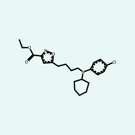 CCOC(=O)c1cc(CCCCN(c2ccc(Cl)cc2)C2CCCCC2)on1